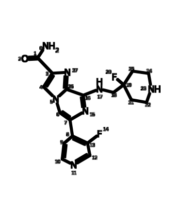 NC(=O)c1cn2cc(-c3ccncc3F)nc(NCC3(F)CCNCC3)c2n1